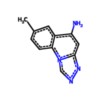 Cc1ccc2c(c1)c(N)cc1nncn12